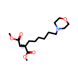 COC(=O)/C=C(\CCCCCCN1CCOCC1)C(=O)OC